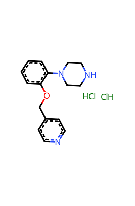 Cl.Cl.c1ccc(N2CCNCC2)c(OCc2ccncc2)c1